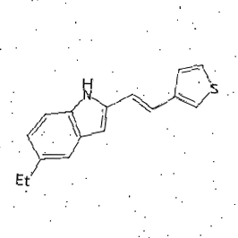 CCc1ccc2[nH]c(C=Cc3ccsc3)cc2c1